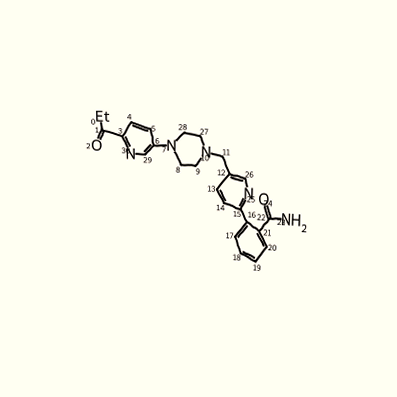 CCC(=O)c1ccc(N2CCN(Cc3ccc(-c4ccccc4C(N)=O)nc3)CC2)cn1